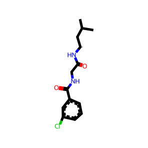 CC(C)C[CH]NC(=O)CNC(=O)c1cccc(Cl)c1